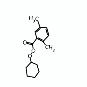 Cc1ccc(C)c(C(=O)OO[C]2CCCCC2)c1